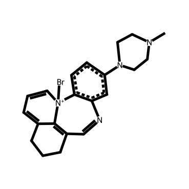 CN1CCN(c2ccc3c(c2)N=CC2=C4C(=CC=C[N+]43Br)CCC2)CC1